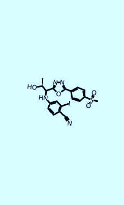 C[C@H](O)C(Nc1ccc(C#N)c(I)c1)c1nnc(-c2ccc(S(C)(=O)=O)cc2)o1